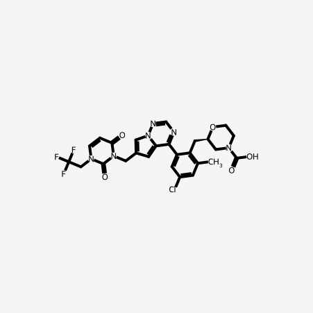 Cc1cc(Cl)cc(-c2ncnn3cc(Cn4c(=O)ccn(CC(F)(F)F)c4=O)cc23)c1C[C@@H]1CN(C(=O)O)CCO1